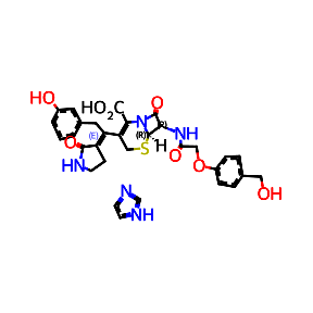 O=C(COc1ccc(CO)cc1)N[C@@H]1C(=O)N2C(C(=O)O)=C(/C(Cc3cccc(O)c3)=C3\CCNC3=O)CS[C@H]12.c1c[nH]cn1